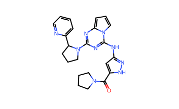 O=C(c1cc(Nc2nc(N3CCCC3c3ccccn3)nc3cccn23)n[nH]1)N1CCCC1